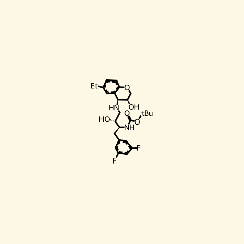 CCc1ccc2c(c1)[C@H](NC[C@@H](O)[C@H](Cc1cc(F)cc(F)c1)NC(=O)OC(C)(C)C)[C@H](O)CO2